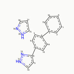 c1ccc(-c2ccc(-c3cc[nH]n3)cc2)cc1.c1cn[nH]c1